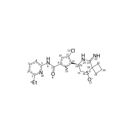 CCc1cccc(NC(=O)c2cc(Cl)c([C@@H]3C[S+]([O-])C4(CCC4)C(=N)N3)s2)n1